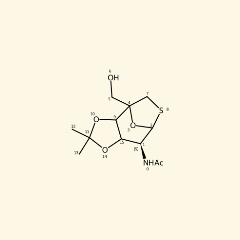 CC(=O)N[C@@H]1C2OC(CO)(CS2)C2OC(C)(C)OC21